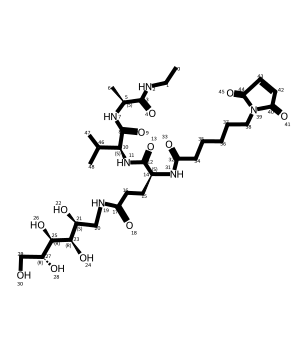 CCNC(=O)[C@H](C)NC(=O)[C@@H](NC(=O)[C@H](CCC(=O)NC[C@H](O)[C@@H](O)[C@H](O)[C@H](O)CO)NC(=O)CCCCCN1C(=O)C=CC1=O)C(C)C